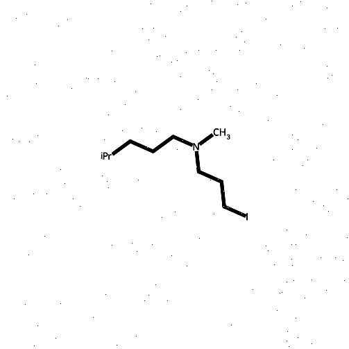 CC(C)CCCN(C)CCCI